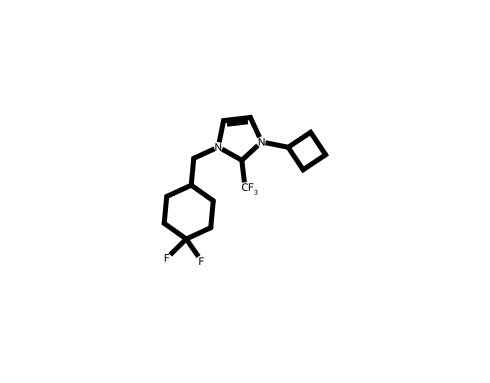 FC1(F)CCC(CN2C=CN(C3CCC3)C2C(F)(F)F)CC1